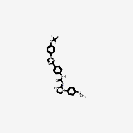 COc1ccc(N2CCN/C2=N\C(=O)Nc2ccc(-c3ncn(-c4ccc(OC(F)(F)F)cc4)n3)cc2)cc1